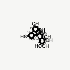 O=C1C2C(=CC(O)(O)CC2(O)O)OC(c2ccc(O)cc2)(c2ccc(O)cc2O)C1O